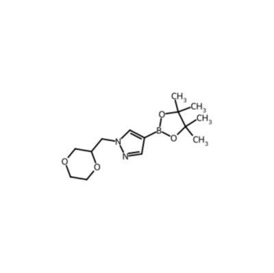 CC1(C)OB(c2cnn(CC3COCCO3)c2)OC1(C)C